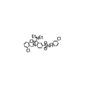 CCN(CC)c1nn(Cc2c(Cl)cccc2Cl)c2ccc(S(=O)(=O)NCc3cccc(Cl)c3)cc12